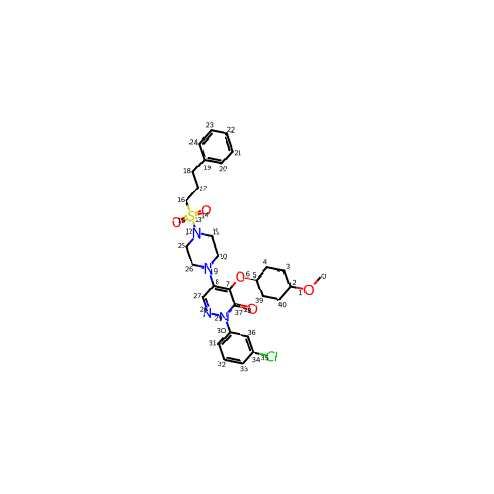 COC1CCC(Oc2c(N3CCN(S(=O)(=O)CCCc4ccccc4)CC3)cnn(-c3cccc(Cl)c3)c2=O)CC1